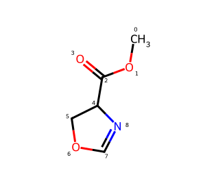 COC(=O)C1COC=N1